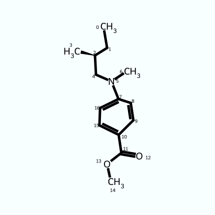 CC[C@H](C)CN(C)c1ccc(C(=O)OC)cc1